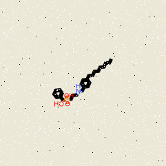 CCCCCCCCCc1ccc(CNCCCP(=O)(O)C(O)c2ccccc2)cc1